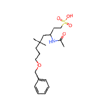 CC(=O)NC(CCS(=O)(=O)O)CC(C)(C)CCCOCc1ccccc1